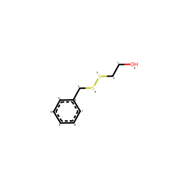 OCCSSCc1ccccc1